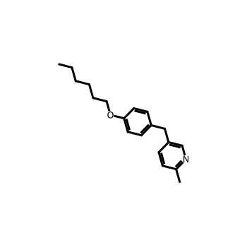 CCCCCCOc1ccc(Cc2ccc(C)nc2)cc1